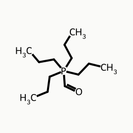 CCCP(C=O)(CCC)(CCC)CCC